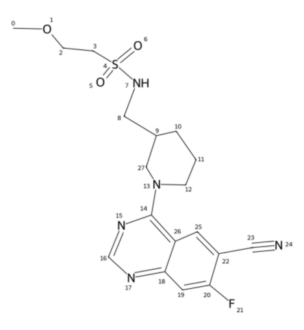 COCCS(=O)(=O)NCC1CCCN(c2ncnc3cc(F)c(C#N)cc23)C1